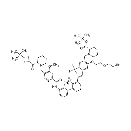 COc1cc(C(=O)Nc2cccc(-c3cccc(/C=C/c4cc(OCCOCCBr)c(CN5CCCC[C@H]5C(=O)OC(C)(C)C)cc4C(F)(F)F)c3C)c2C)ncc1CN1CCCC[C@H]1C(=O)C1CC(C(C)(C)C)C1